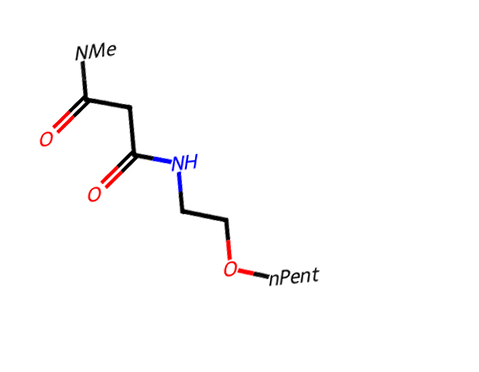 CCCCCOCCNC(=O)CC(=O)NC